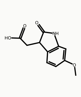 COc1ccc2c(c1)NC(=O)C2CC(=O)O